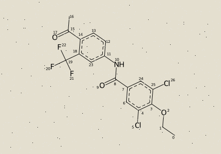 CCOc1c(Cl)cc(C(=O)Nc2ccc(C(C)=O)c(C(F)(F)F)c2)cc1Cl